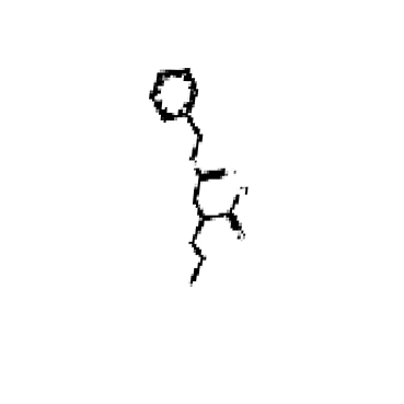 CCCC(CC(=O)OCc1ccccc1)C(=O)Cl